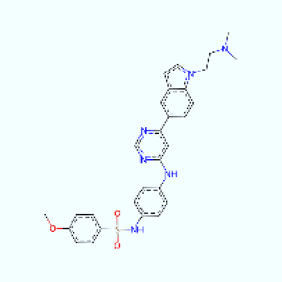 COc1ccc(S(=O)(=O)Nc2ccc(Nc3cc(-c4ccc5c(ccn5CCN(C)C)c4)ncn3)cc2)cc1